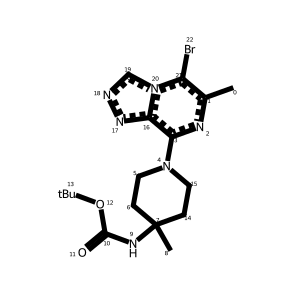 Cc1nc(N2CCC(C)(NC(=O)OC(C)(C)C)CC2)c2nncn2c1Br